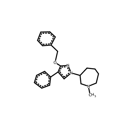 CN1CCCCC(n2cc(-c3ccccc3)c(OCc3ccccc3)n2)C1